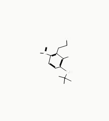 CC(C)(C)Nc1ccc([N+](=O)[O-])c(CCO)c1F